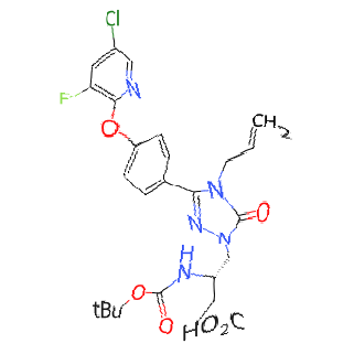 C=CCn1c(-c2ccc(Oc3ncc(Cl)cc3F)cc2)nn(C[C@H](CC(=O)O)NC(=O)OC(C)(C)C)c1=O